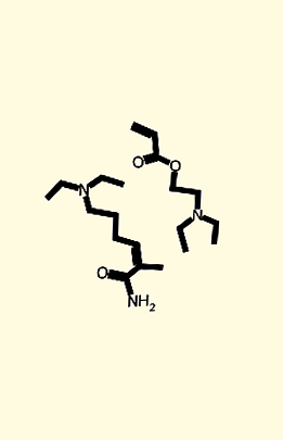 C=CC(=O)OCCN(CC)CC.CCN(CC)CCCC=C(C)C(N)=O